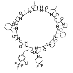 CC[C@H](C)[C@@H]1NC(=O)[C@H](CC(C)C)N(C)C(=O)C[C@@H](C(=O)N2CCC2)N(C)C(=O)[C@H](C2CCCC2)N(C)C(=O)C2(CCCC2)NC(=O)[C@H](CC(=O)N2CCC(F)(F)CC2)N(C)C(=O)[C@H](CCc2ccc(C(F)(F)F)c(Cl)c2)NC(=O)CN(C)C(=O)[C@H](CC2CCCCC2)N(C)C(=O)[C@@H]2CCN2C(=O)[C@H](C)N(C)C1=O